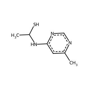 Cc1cc(NC(C)S)ncn1